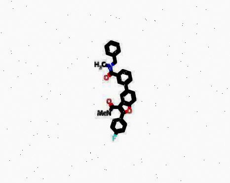 CNC(=O)c1c(-c2ccc(F)cc2)oc2ccc(-c3cccc(C(=O)N(C)Cc4ccccc4)c3)cc12